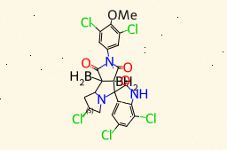 BC12C(=O)N(c3cc(Cl)c(OC)c(Cl)c3)C(=O)C1(B)C1(C(=O)Nc3c(Cl)cc(Cl)cc31)N1C[C@@H](Cl)CC12